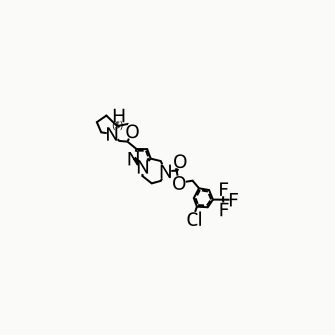 O=C(OCc1cc(Cl)cc(C(F)(F)F)c1)N1CCCn2nc(C3CN4CCC[C@H]4CO3)cc2C1